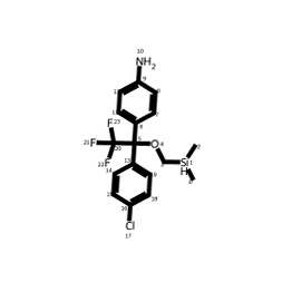 C[SiH](C)COC(c1ccc(N)cc1)(c1ccc(Cl)cc1)C(F)(F)F